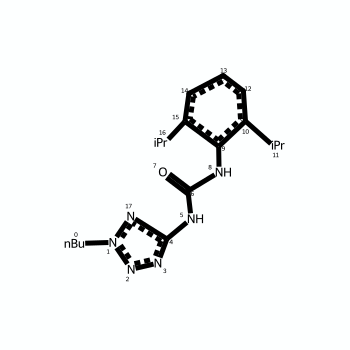 CCCCn1nnc(NC(=O)Nc2c(C(C)C)cccc2C(C)C)n1